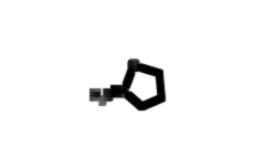 B.B1CCCO1